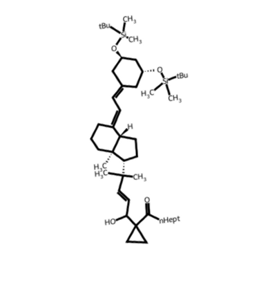 CCCCCCCC(=O)C1(C(O)/C=C/C(C)(C)[C@H]2CC[C@H]3/C(=C/C=C4C[C@@H](O[Si](C)(C)C(C)(C)C)C[C@H](O[Si](C)(C)C(C)(C)C)C4)CCC[C@]23C)CC1